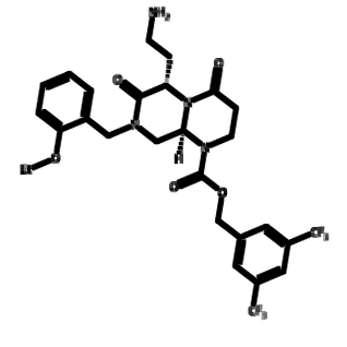 CCOc1ccccc1CN1C[C@@H]2N(C(=O)OCc3cc(C(F)(F)F)cc(C(F)(F)F)c3)CCC(=O)N2[C@@H](CCN)C1=O